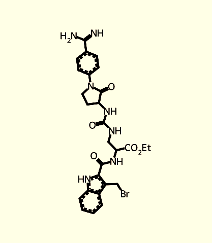 CCOC(=O)C(CNC(=O)NC1CCN(c2ccc(C(=N)N)cc2)C1=O)NC(=O)c1[nH]c2ccccc2c1CBr